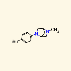 CCC(C)c1ccc(N2CC3CC2CN3C)cc1